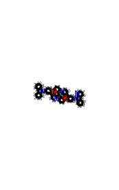 c1ccc([Si](c2ccccc2)(c2nccc3c2oc2ccc(-n4c5ccccc5c5ccccc54)cc23)c2nccc3c2oc2ccc(-n4c5ccccc5c5cccnc54)cc23)cc1